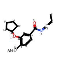 CC=C=NC(=O)c1ccc(OC)c(OC2CCCC2)c1